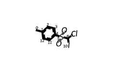 Cc1ccc(S(=O)(=O)C(Cl)I)cc1